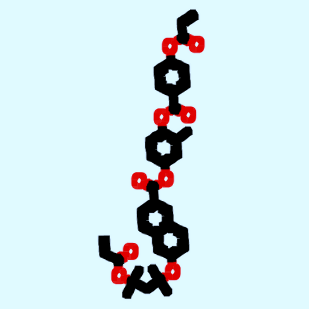 C=CC(=O)Oc1ccc(C(=O)Oc2ccc(OC(=O)c3ccc4cc(OC(C)(C)CC(C)(C)OC(=O)C=C)ccc4c3)cc2C)cc1